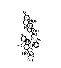 CC(=O)Oc1ccccc1C(=O)O.C[C@@H]1C[C@H]2[C@@H]3CCC4=CC(=O)C=C[C@]4(C)[C@@]3(F)[C@@H](O)C[C@]2(C)[C@@]1(O)C(=O)CO.C[C@]12CCC(=O)C=C1CC[C@@H]1[C@@H]2[C@@H](O)C[C@@]2(C)[C@H]1CC[C@]2(O)C(=O)CO